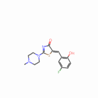 CN1CCN(C2=NC(=O)C(=Cc3cc(F)ccc3O)S2)CC1